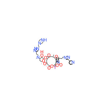 CO[C@]1(C)C[C@@H](C)C(=O)[C@@H]2C(CCCn3cnc(-c4cccnc4)c3)N3C(=O)O[C@](C)([C@@H](I)OC(=O)[C@H](C)C(=O)[C@H](C)[C@H]1O[C@@H]1O[C@H](C)C[C@H](N(C)CCc4cn(CCN5CCNCC5)nn4)[C@H]1O)[C@@H]23